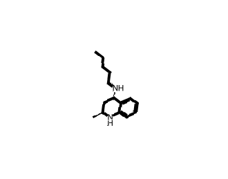 CCCCCN[C@H]1C[C@H](C)Nc2ccccc21